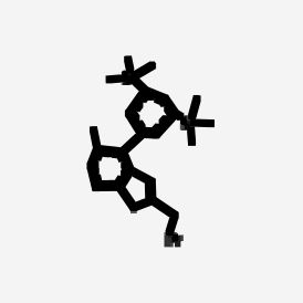 Cc1ccc2c(c1-c1cc([Si](C)(C)C)cc([Si](C)(C)C)c1)C=C(CC(C)C)[CH]2